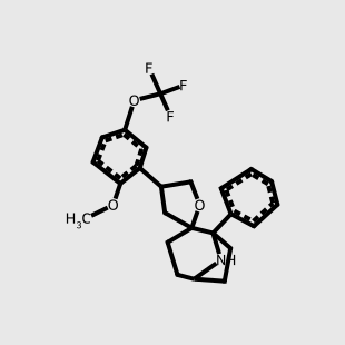 COc1ccc(OC(F)(F)F)cc1C1COC2(CCC3CCC2(c2ccccc2)N3)C1